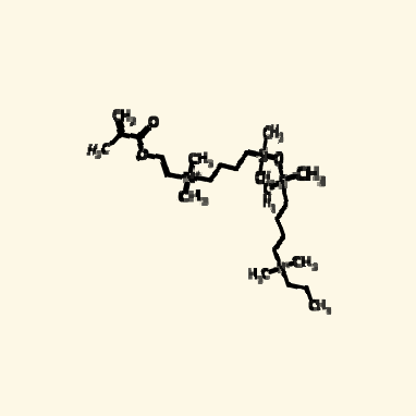 C=C(C)C(=O)OCC[N+](C)(C)CCCC[Si](C)(C)O[Si](C)(C)CCCC[N+](C)(C)CCC